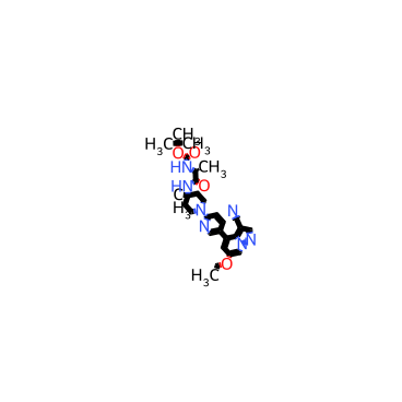 CCOc1cc(-c2ccc(N3CCC(C)(NC(=O)[C@H](C)NC(=O)OC(C)(C)C)CC3)nc2)c2c(C#N)cnn2c1